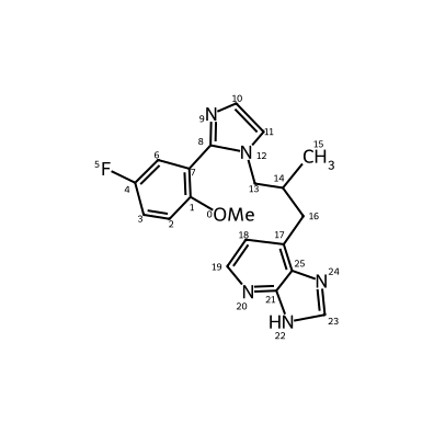 COc1ccc(F)cc1-c1nccn1CC(C)Cc1ccnc2[nH]cnc12